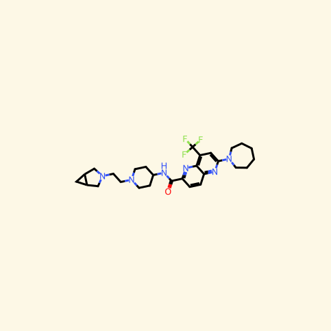 O=C(NC1CCN(CCN2CC3CC3C2)CC1)c1ccc2nc(N3CCCCCC3)cc(C(F)(F)F)c2n1